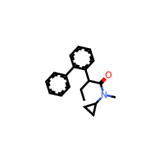 CCC(C(=O)N(C)C1CC1)c1ccccc1-c1ccccc1